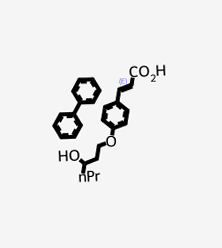 CCCC(O)CCOc1ccc(/C=C/C(=O)O)cc1.c1ccc(-c2ccccc2)cc1